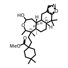 COC(=O)C1(CC[C@]2(C)C(C)OC(O)C[C@@H]3[C@@]4(C)Cc5cnoc5C(C)(C)[C@@H]4CC[C@]32C)CCC(C)(C)CC1